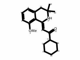 COc1cccc2c1C(=CC(=O)C1CCCCC1)NC(C)(C)C2